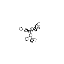 C1=CCCC(c2ccc(N(C3=CC(c4ccccc4)C(c4cccc5ccccc45)C=C3)c3ccc4c(c3)oc3nc5ccccc5cc34)cc2)=C1